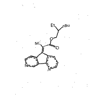 CCCCC(CC)COC(=O)/C(C#N)=C1/c2ccncc2-c2ncccc21